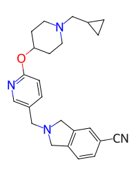 N#Cc1ccc2c(c1)CN(Cc1ccc(OC3CCN(CC4CC4)CC3)nc1)C2